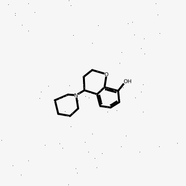 Oc1cccc2c1OCCC2N1CCCCC1